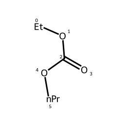 [CH2]COC(=O)OCCC